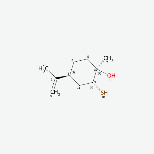 C=C(C)[C@H]1CC[C@@](C)(O)[C@H](S)C1